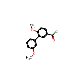 COc1cccc(-c2cc(C(=O)Cl)ccc2OC)c1